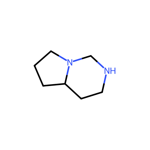 C1CC2CCNCN2C1